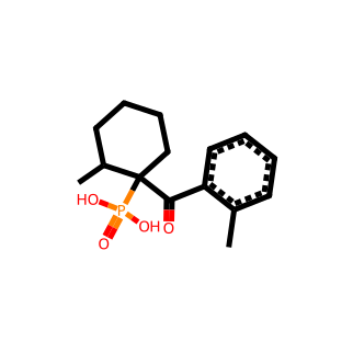 Cc1ccccc1C(=O)C1(P(=O)(O)O)CCCCC1C